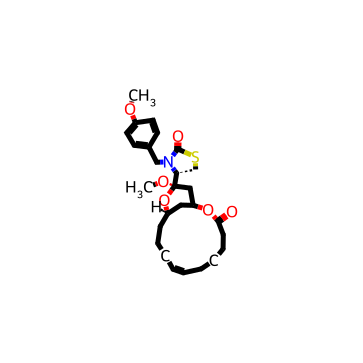 COc1ccc(CN2C(=O)SC[C@@H]2[C@@]2(OC)CC3C[C@@H](CCC/C=C\CCCCC(=O)O3)O2)cc1